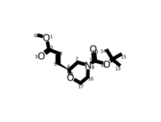 COC(=O)C=C[C@H]1CN(C(=O)OC(C)(C)C)CCO1